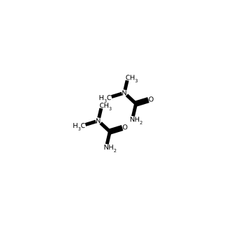 CN(C)C(N)=O.CN(C)C(N)=O